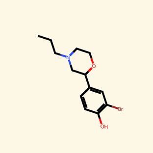 CCCN1CCOC(c2ccc(O)c(Br)c2)C1